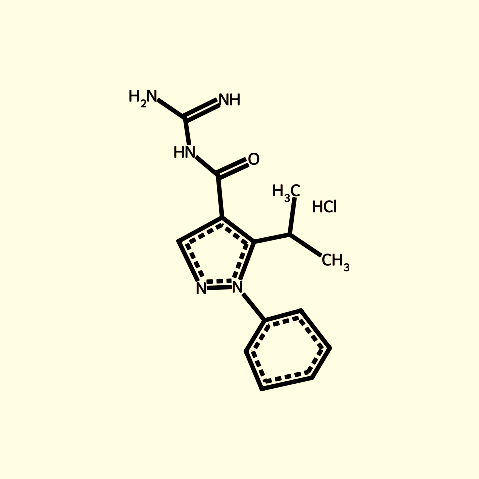 CC(C)c1c(C(=O)NC(=N)N)cnn1-c1ccccc1.Cl